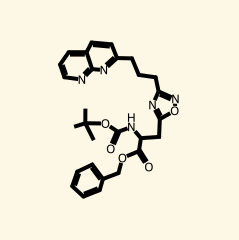 CC(C)(C)OC(=O)NC(Cc1nc(CCCc2ccc3cccnc3n2)no1)C(=O)OCc1ccccc1